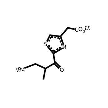 CCOC(=O)Cc1csc(C(=O)C(C)CC(C)(C)C)n1